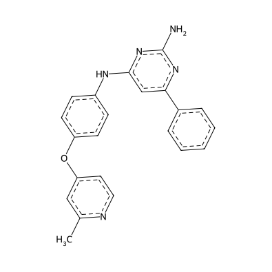 Cc1cc(Oc2ccc(Nc3cc(-c4ccccc4)nc(N)n3)cc2)ccn1